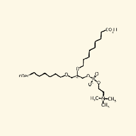 CCCCCCCCCCCCCCCCOC[C@H](COP(=O)([O-])OCC[N+](C)(C)C)OCCCCCCCCC(=O)O